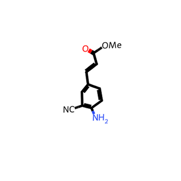 COC(=O)/C=C/c1ccc(N)c(C#N)c1